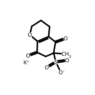 CC1(S(=O)(=O)[O-])CC(=O)C2=C(CCCO2)C1=O.[K+]